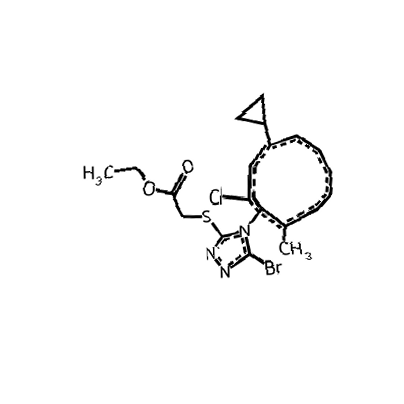 CCOC(=O)CSc1nnc(Br)n1-c1c(C)cccccc(C2CC2)cc1Cl